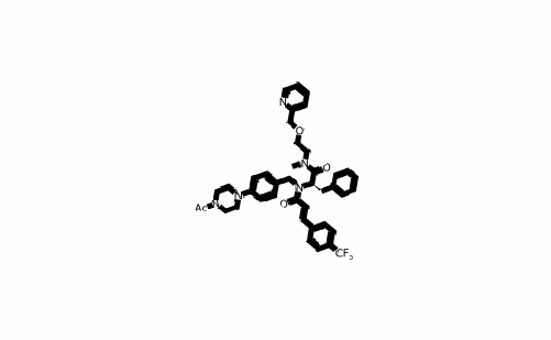 CC(=O)N1CCN(c2ccc(CN(C(=O)C=Cc3ccc(C(F)(F)F)cc3)[C@@H](Cc3ccccc3)C(=O)N(C)CCOCc3ccccn3)cc2)CC1